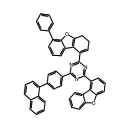 C1=C(c2nc(-c3ccc(-c4cccc5ccccc45)cc3)nc(-c3cccc4oc5ccccc5c34)n2)c2c(oc3c(-c4ccccc4)cccc23)CC1